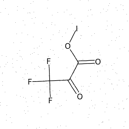 O=C(OI)C(=O)C(F)(F)F